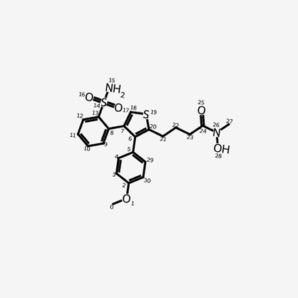 COc1ccc(-c2c(-c3ccccc3S(N)(=O)=O)csc2CCCC(=O)N(C)O)cc1